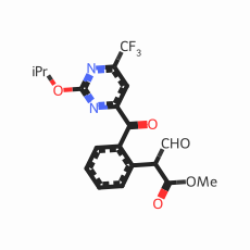 COC(=O)C(C=O)c1ccccc1C(=O)c1cc(C(F)(F)F)nc(OC(C)C)n1